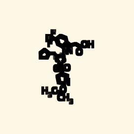 CC(C)Oc1ccc(S(=O)(=O)N2C[C@@H](CC3CCCC3)[C@@H](n3nc(CC(=O)O)c4ccc(C(F)(F)F)cc43)C2)cn1